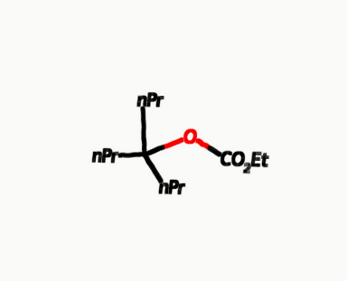 CCCC(CCC)(CCC)OC(=O)OCC